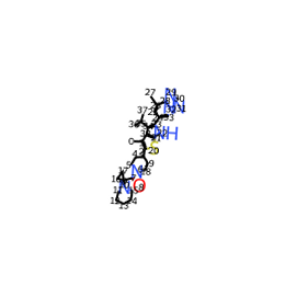 Cc1c(C2CCN(C(=O)C3(N4CCCCC4)CC3)CC2)sc2[nH]c(-c3cc(C)c4ncnn4c3)c(C(C)C)c12